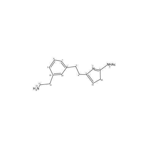 CC(=O)NC1=NC(CCc2cccc(CCN)c2)=CC1